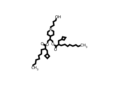 CCCCCCCCC(CC1CCC1)C(=O)OCC(COC(=O)C(CCCCCCCC)CC1CCC1)C1CCN(CCCCO)CC1